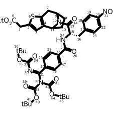 CCOC(=O)Cc1cc2c(s1)CC1CCC2N1C(=O)[C@H](Cc1ccc([N+](=O)[O-])cc1)NC(=O)c1ccc(C(=NC(=O)OC(C)(C)C)N(C(=O)OC(C)(C)C)C(=O)OC(C)(C)C)cc1